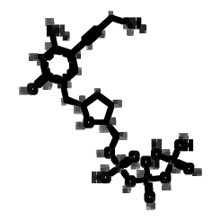 NCC#Cc1cn(C[C@H]2CC[C@@H](COP(=O)(O)OP(=O)(O)OP(=O)(O)O)O2)c(=O)nc1N